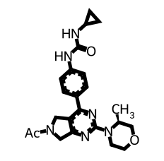 CC(=O)N1Cc2nc(N3CCOC[C@@H]3C)nc(-c3ccc(NC(=O)NC4CC4)cc3)c2C1